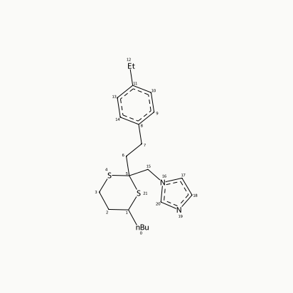 CCCCC1CCSC(CCc2ccc(CC)cc2)(Cn2ccnc2)S1